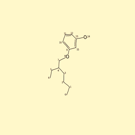 CCCCC(CC)COc1cccc([O])c1